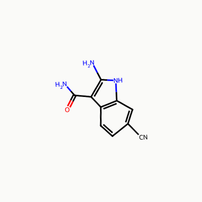 N#Cc1ccc2c(C(N)=O)c(N)[nH]c2c1